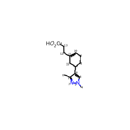 Cc1nn(C)cc1C1CCC=C(CCC(=O)O)C1